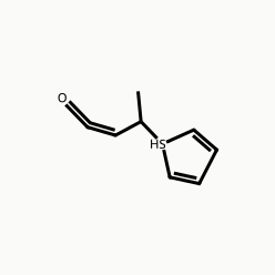 CC(C=C=O)[SH]1C=CC=C1